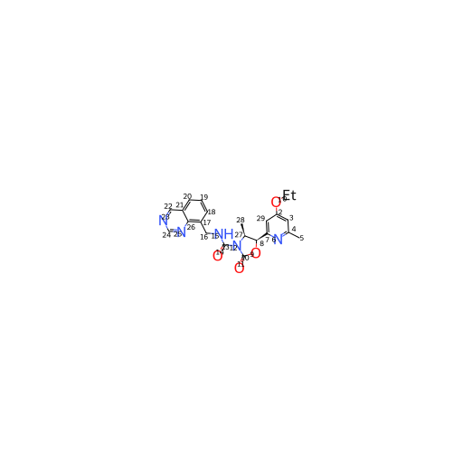 CCOc1cc(C)nc([C@H]2OC(=O)N(C(=O)NCc3cccc4cncnc34)[C@H]2C)c1